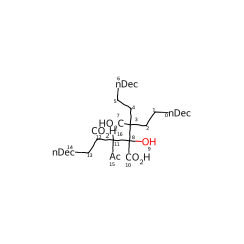 CCCCCCCCCCCCC(CCCCCCCCCCCC)(C(=O)O)C(O)(C(=O)O)C(CCCCCCCCCCCC)(C(C)=O)C(=O)O